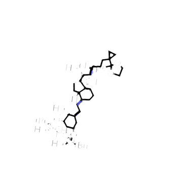 C=C1/C(=C\C=C2/CCC[C@]3(C)[C@@H]([C@H](C)/C=C/CCC4(C5(CCCCCCC)OCCO5)CC4)CC[C@@H]23)C[C@@H](O[Si](C)(C)C(C)(C)C)C[C@@H]1O[Si](C)(C)C(C)(C)C